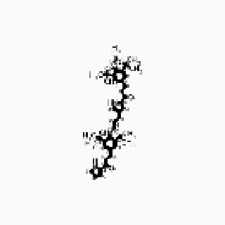 CCOc1c(C(C)(C)C)cc(CCC(=O)c2cc(CCCOc3c(C(C)(C)C)cc(CCC(=O)c4ccc[nH]4)cc3C(C)(C)C)c[nH]2)cc1C(C)(C)C